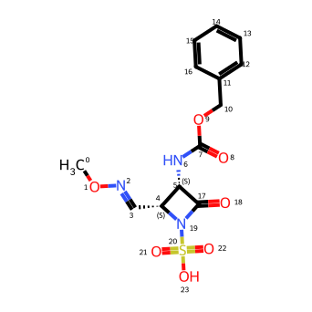 CON=C[C@@H]1[C@H](NC(=O)OCc2ccccc2)C(=O)N1S(=O)(=O)O